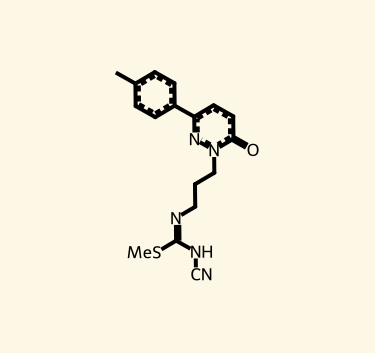 CSC(=NCCCn1nc(-c2ccc(C)cc2)ccc1=O)NC#N